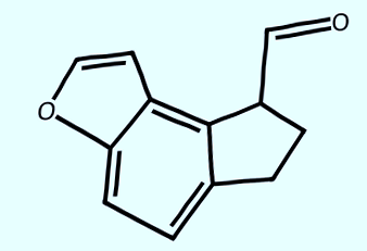 O=CC1CCc2ccc3occc3c21